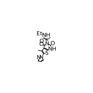 CCNC(=O)[C@@H](C)n1c(=O)[nH]c2sc(-n3cccn3)c(C)c2c1=O